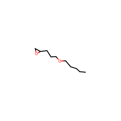 CCCCCOCCCC1CO1